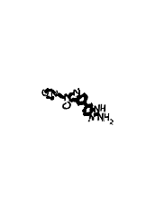 Nc1nc2ccc(-c3ccc4ncn(CCN5CCOCC5)c(=O)c4c3)cc2[nH]1